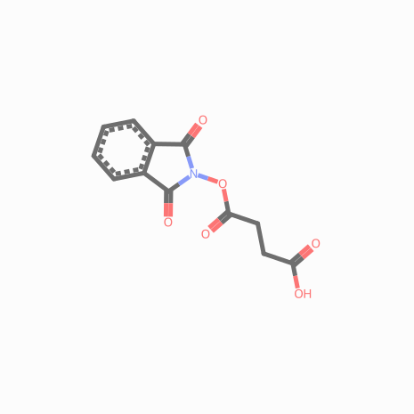 O=C(O)CCC(=O)ON1C(=O)c2ccccc2C1=O